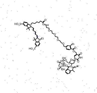 CCN1/C(=C/C=C/C=C/C2=[N+](CCCCCC(=O)ONCCOCCOCCOCCOCc3ccc(C(=O)OCc4cn([C@H]5CC(OC(=O)c6ccccc6C(C)N=[N+]=[N-])[C@@H](COP(=O)(O)OP(=O)(O)OP(=O)(O)O)O5)c(=O)[nH]c4=O)c(C(C)C)c3)c3ccc(S(=O)(=O)O)cc3C2(C)C)C(C)(C)c2cc(S(=O)(=O)O)ccc21